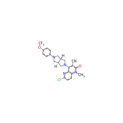 Cn1c(=O)c(C#N)c(N2C[C@H]3CN(c4ccc(OC(F)(F)F)cc4)C[C@@H]3C2)c2nc(Cl)ccc21